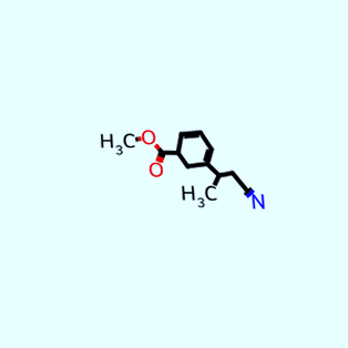 COC(=O)C1C=CC=C(C(C)CC#N)C1